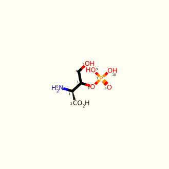 N[C@H](C(=O)O)C(CO)OP(=O)(O)O